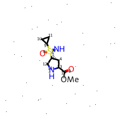 COC(=O)C1CC(S(=N)(=O)C2CC2)CN1